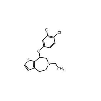 CCN1CCc2ccsc2C(Oc2ccc(Cl)c(Cl)c2)C1